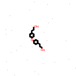 OCCCc1ccc(Oc2ccc(CCCO)cc2)cc1